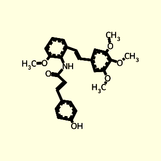 COc1cccc(C=Cc2cc(OC)c(OC)c(OC)c2)c1NC(=O)/C=C/c1ccc(O)cc1